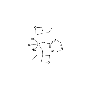 CCC1(CP(O)(O)(O)C(c2ccccc2)C2(CC)COC2)COC1